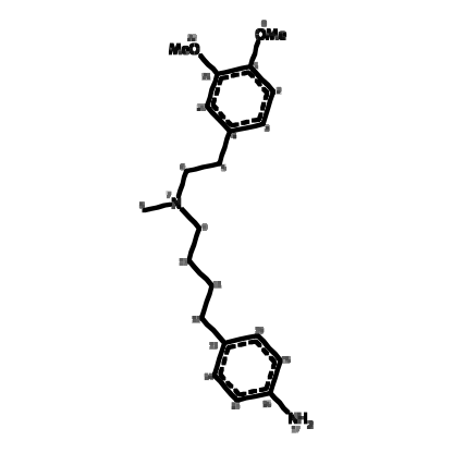 COc1ccc(CCN(C)CCCCc2ccc(N)cc2)cc1OC